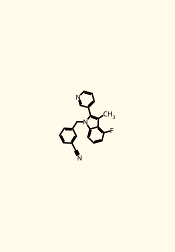 Cc1c(-c2cccnc2)n(Cc2cccc(C#N)c2)c2cccc(F)c12